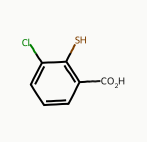 O=C(O)c1cccc(Cl)c1S